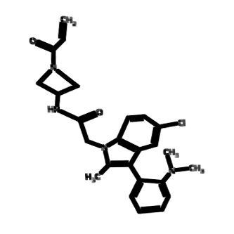 C=CC(=O)N1CC(NC(=O)Cn2c(C)c(-c3ccccc3N(C)C)c3cc(Cl)ccc32)C1